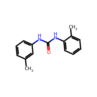 Cc1cccc(NC(=O)Nc2ccccc2C)c1